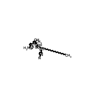 CCCCCCCCCCCCCCCCCCOC[C@H](COP(=O)(O)OC[C@@]1(C)O[C@@H](c2ccc3c(N)ncnn23)C[C@@H]1O)OCc1ccc(C#N)nc1